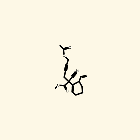 C=CC1CCCC=C1C(C#N)(CC#CCOC(C)=O)C(=O)OC